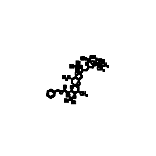 CC[Si](CC)(CC)OC1[C@H](CC(=O)OCc2ccccc2)O[C@]2(C[C@H](C)C3OC([C@H](C[C@H](CO[Si](C)(C)C(C)(C)C)O[Si](C)(C)C(C)(C)C)O[Si](CC)(CC)CC)CC3O2)C[C@@H]1C